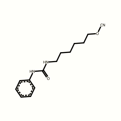 N#COCCCCCCNC(=O)Nc1ccccc1